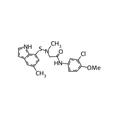 COc1ccc(NC(=O)CN(C)Sc2cc(C)cc3cc[nH]c23)cc1Cl